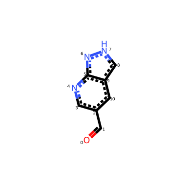 O=Cc1cnc2n[nH]cc2c1